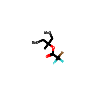 COCC(C)(COC)OC(=O)C(F)(F)Br